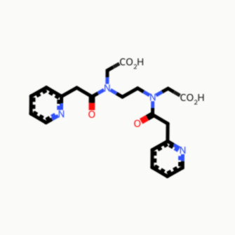 O=C(O)CN(CCN(CC(=O)O)C(=O)Cc1ccccn1)C(=O)Cc1ccccn1